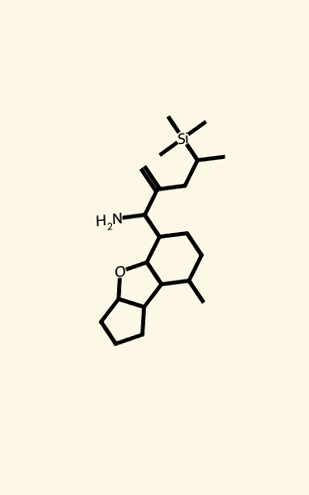 C=C(CC(C)[Si](C)(C)C)C(N)C1CCC(C)C2C3CCCC3OC12